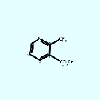 CCOC(=O)c1c[c]cnc1C(F)(F)F